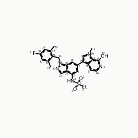 CCS(=O)(=O)Nc1cc(-c2cn(C)c3c(O)nccc23)cc2c1cnn2Cc1c(C)cc(F)cc1C